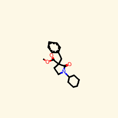 COC(=O)C1(Cc2ccccc2)CCN(C2CCCCC2)C1=O